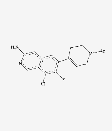 CC(=O)N1CC=C(c2cc3cc(N)ncc3c(Cl)c2F)CC1